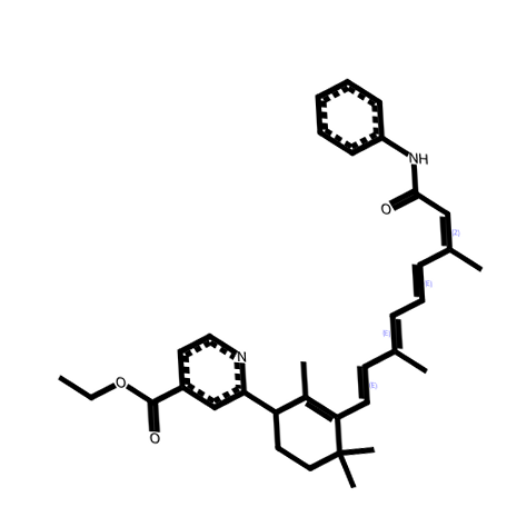 CCOC(=O)c1ccnc(C2CCC(C)(C)C(/C=C/C(C)=C/C=C/C(C)=C\C(=O)Nc3ccccc3)=C2C)c1